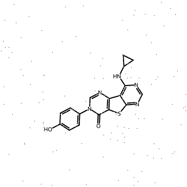 O=c1c2sc3ncnc(NC4CC4)c3c2ncn1-c1ccc(O)cc1